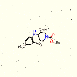 CO[C@@H]1CN(C(=O)OC(C)(C)C)CC[C@H]1Nc1ccc(C)cc1[N+](=O)[O-]